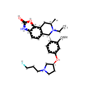 COc1cc(O[C@H]2CCN(CCCF)C2)ccc1[C@@H]1c2ccc3[nH]c(=O)oc3c2C[C@@H](C)N1CC(F)(F)F